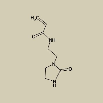 C=CC(=O)NCCN1CCNC1=O